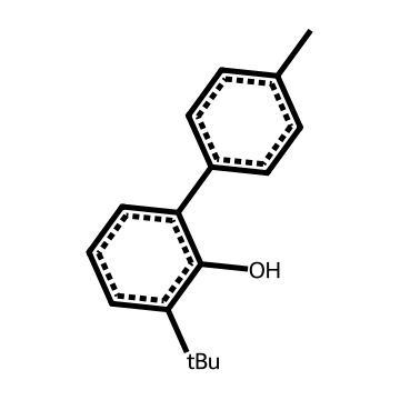 Cc1ccc(-c2cccc(C(C)(C)C)c2O)cc1